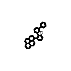 c1ccc(-c2cccc3c2oc2cccc(-c4ccc5ccc6cccc7ccc4c5c67)c23)cc1